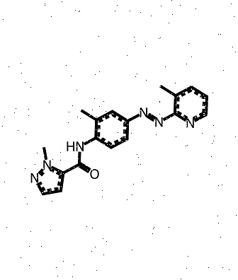 Cc1cc(/N=N/c2ncccc2C)ccc1NC(=O)c1ccnn1C